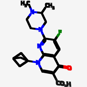 CC1CN(c2nc3c(cc2F)c(=O)c(C(=O)O)cn3C23CC(C2)C3)CCN1C